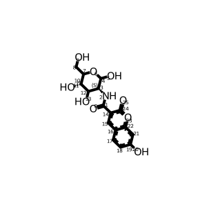 O=C(N[C@@H]1C(O)OC(CO)[C@@H](O)C1O)c1cc2ccc(O)cc2oc1=O